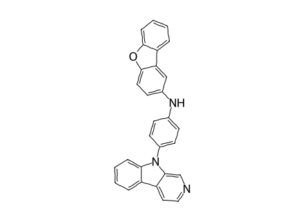 c1ccc2c(c1)oc1ccc(Nc3ccc(-n4c5ccccc5c5ccncc54)cc3)cc12